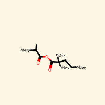 CCCCCCCCCCCCC(CCCCCC)(CCCCCCCCCC)C(=O)OC(=O)C(C)NC